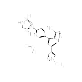 ClOCl.Cn1cc(-c2cc(-c3ccc(N4C[C@@H]5C[C@H]4CN5)nc3)c3c(C#N)cnn3c2)cn1